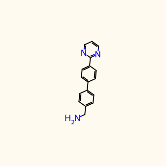 NCc1ccc(-c2ccc(-c3ncccn3)cc2)cc1